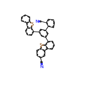 N#Cc1ccc2sc3c(-c4cc(-c5ccccc5C#N)cc(-c5cccc6c5sc5ccccc56)c4)cccc3c2c1